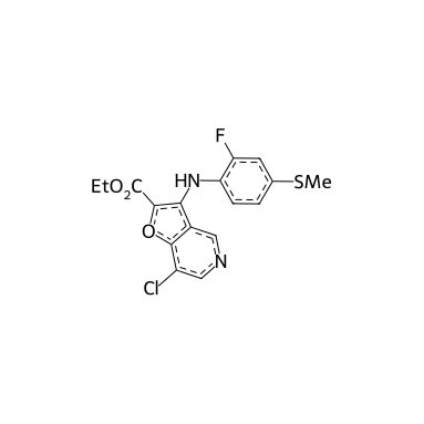 CCOC(=O)c1oc2c(Cl)cncc2c1Nc1ccc(SC)cc1F